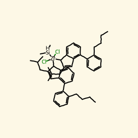 CCCCc1ccccc1-c1cccc2c1C=C(CC(C)C)[CH]2[Zr]([Cl])([Cl])([CH]1C(CC(C)C)=Cc2c(-c3ccccc3CCCC)cccc21)[SiH](C)C